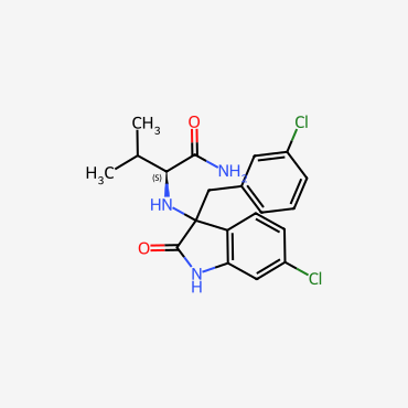 CC(C)[C@H](NC1(Cc2cccc(Cl)c2)C(=O)Nc2cc(Cl)ccc21)C(N)=O